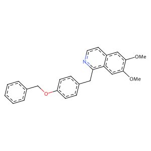 COc1cc2ccnc(Cc3ccc(OCc4ccccc4)cc3)c2cc1OC